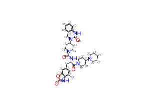 O=C(NC(Cc1cc(I)c2[nH]c(=O)oc2c1)C(=O)N1CCC(N2CCCCC2)CC1)N1CCC(N2Cc3ccccc3NC2=O)CC1